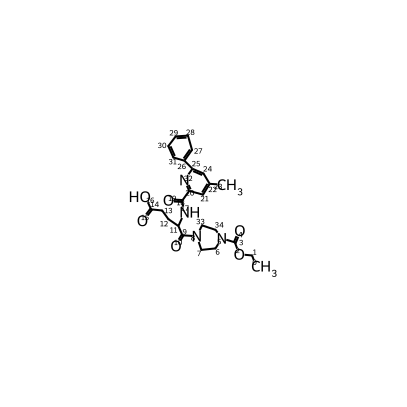 CCOC(=O)N1CCN(C(=O)C(CCC(=O)O)NC(=O)c2cc(C)cc(-c3ccccc3)n2)CC1